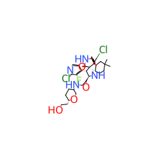 CC1(C)CCC2(CC1)N[C@@H](C1OC1N[C@@H]1CC[C@@H](CCO)OC1)[C@H](c1ccnc(Cl)c1F)[C@]21C(=O)Nc2cc(Cl)ccc21